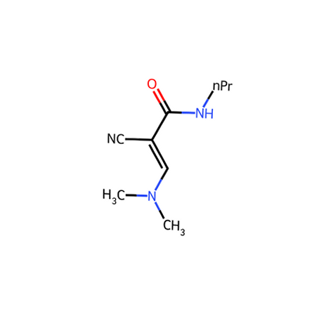 CCCNC(=O)C(C#N)=CN(C)C